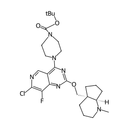 CN1CCC[C@@]2(COc3nc(N4CCN(C(=O)OC(C)(C)C)CC4)c4cnc(Cl)c(F)c4n3)CCC[C@@H]12